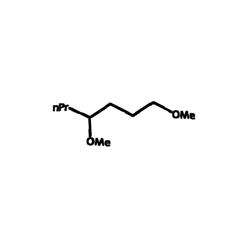 [CH2]CCC(CCCOC)OC